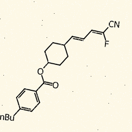 CCCCc1ccc(C(=O)OC2CCC(C=CC=C(F)C#N)CC2)cc1